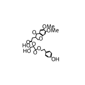 COc1cc2c(cc1OC)C(=O)C(CC(=O)OC(C(=O)OCCc1ccc(O)cc1)C(O)O)CO2